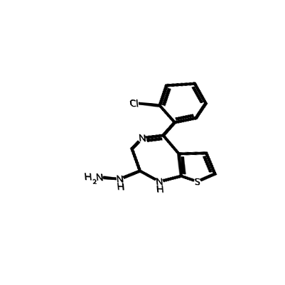 NNC1CN=C(c2ccccc2Cl)c2ccsc2N1